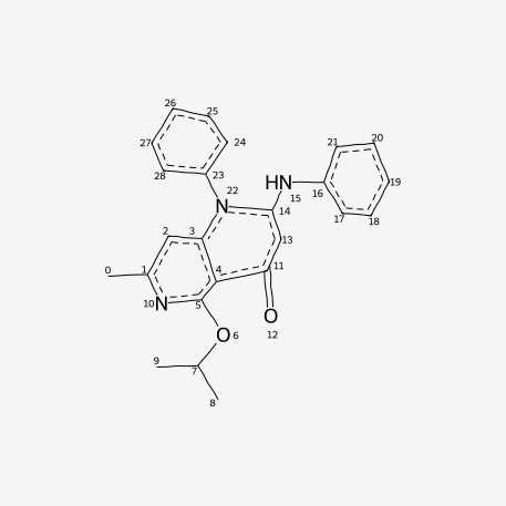 Cc1cc2c(c(OC(C)C)n1)c(=O)cc(Nc1ccccc1)n2-c1ccccc1